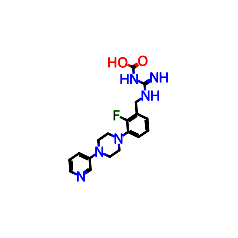 N=C(NCc1cccc(N2CCN(c3cccnc3)CC2)c1F)NC(=O)O